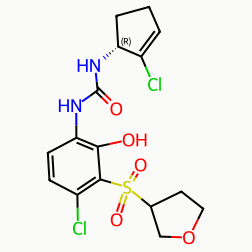 O=C(Nc1ccc(Cl)c(S(=O)(=O)C2CCOC2)c1O)N[C@@H]1CCC=C1Cl